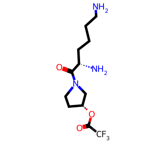 NCCCC[C@H](N)C(=O)N1CC[C@@H](OC(=O)C(F)(F)F)C1